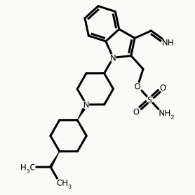 CC(C)[C@H]1CC[C@@H](N2CCC(n3c(COS(N)(=O)=O)c(C=N)c4ccccc43)CC2)CC1